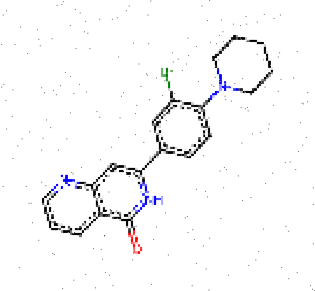 O=c1[nH]c(-c2ccc(N3CCCCC3)c(Br)c2)cc2ncccc12